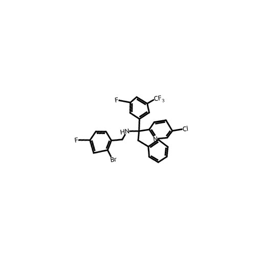 Fc1cc(C(F)(F)F)cc(C(Cc2ccccc2)(NCc2ccc(F)cc2Br)c2ccc(Cl)cn2)c1